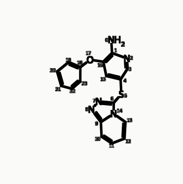 Nc1ncc(Sc2nnc3ccccn23)cc1Oc1ccccc1